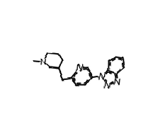 CN1CCCC(Cc2ccc(-n3nnc4ccccc43)cn2)C1